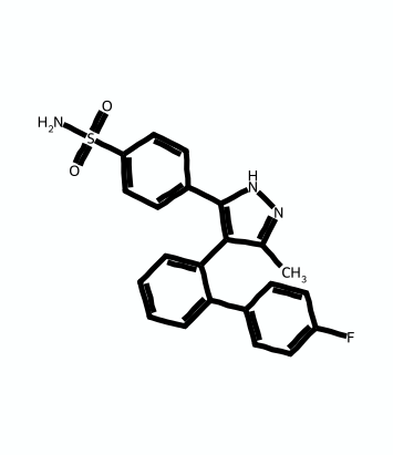 Cc1n[nH]c(-c2ccc(S(N)(=O)=O)cc2)c1-c1ccccc1-c1ccc(F)cc1